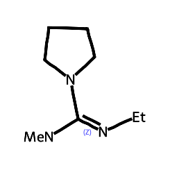 CC/N=C(/NC)N1CCCC1